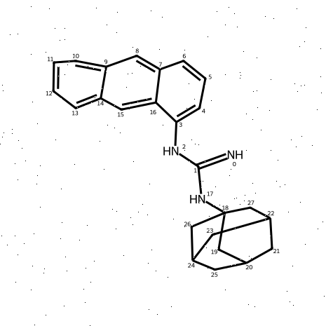 N=C(Nc1cccc2cc3ccccc3cc12)NC12CC3CC(CC(C3)C1)C2